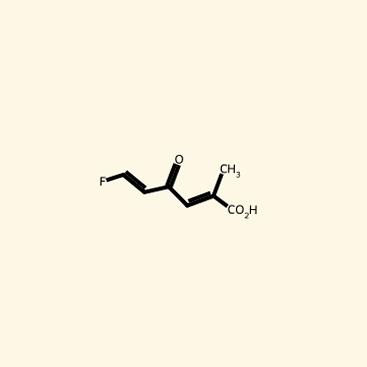 CC(=CC(=O)C=CF)C(=O)O